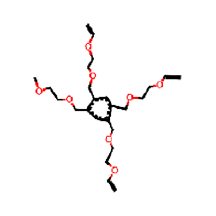 C=COCCOCc1cc(COCCOC=C)c(COCCOC=C)cc1COCCOC